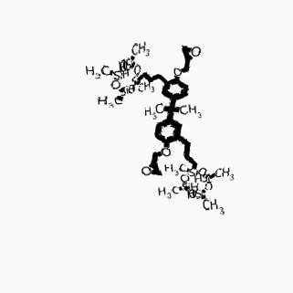 C[SiH]1O[SiH](C)O[Si](C)(CCCc2cc(C(C)(C)c3ccc(OCC4CO4)c(CCC[Si]4(C)O[SiH](C)O[SiH](C)O[SiH](C)O4)c3)ccc2OCC2CO2)O[SiH](C)O1